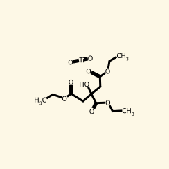 CCOC(=O)CC(O)(CC(=O)OCC)C(=O)OCC.[O]=[Ti]=[O]